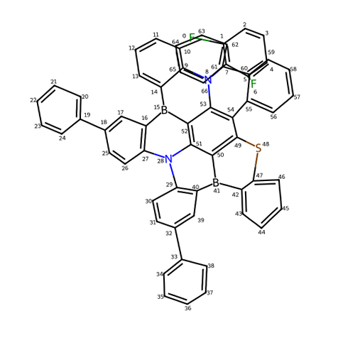 Fc1cccc(F)c1N1c2ccccc2B2c3cc(-c4ccccc4)ccc3N3c4ccc(-c5ccccc5)cc4B4c5ccccc5Sc5c4c3c2c1c5-c1ccccc1-c1ccccc1